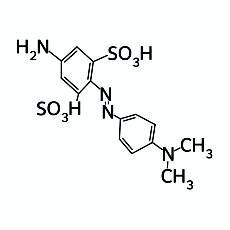 CN(C)c1ccc(/N=N/c2c(S(=O)(=O)O)cc(N)cc2S(=O)(=O)O)cc1